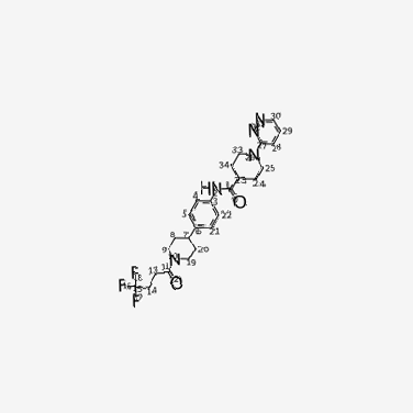 O=C(Nc1ccc(C2CCN(C(=O)CCC(F)(F)F)CC2)cc1)C1CCN(c2cccnn2)CC1